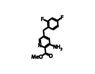 COC(=O)c1ncc(Cc2ccc(F)cc2F)cc1N